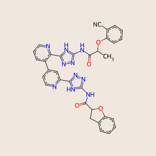 CC(Oc1ccccc1C#N)C(=O)Nc1nnc(-c2ncccc2-c2ccnc(-c3nnc(NC(=O)C4Cc5ccccc5O4)[nH]3)c2)[nH]1